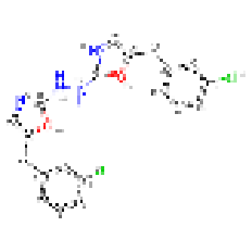 Clc1cccc(Cc2cnc(NNc3ncc(Cc4cccc(Cl)c4)o3)o2)c1